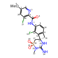 COc1cnc(C(=O)Nc2ccc3c(c2F)[C@]2(C3)CS(=O)(=O)N(C)C(=N)N2)c(F)c1